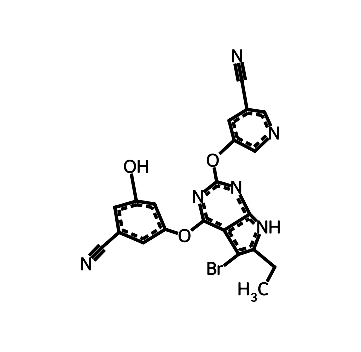 CCc1[nH]c2nc(Oc3cncc(C#N)c3)nc(Oc3cc(O)cc(C#N)c3)c2c1Br